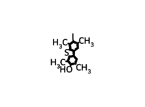 Cc1cc2c(sc3c(C)c(I)c(C)cc32)c(C)c1O